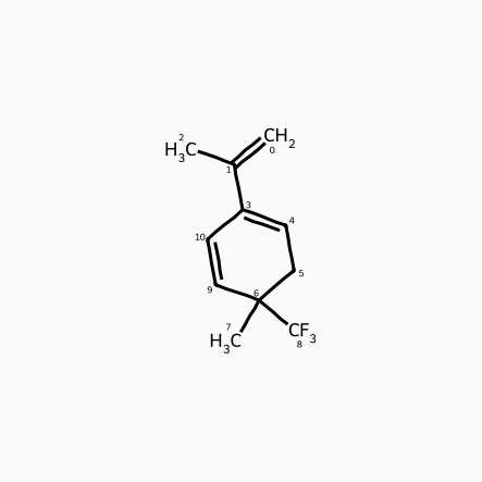 C=C(C)C1=CCC(C)(C(F)(F)F)C=C1